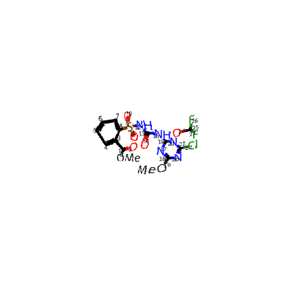 COC(=O)c1ccccc1S(=O)(=O)NC(=O)NC1N=C(OC)N=C(Cl)N1OC(F)F